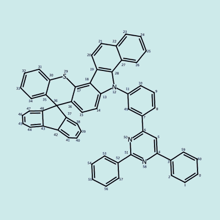 c1ccc(-c2cc(-c3cccc(-n4c5ccc6c(c5c5ccc7ccccc7c54)Sc4ccccc4C64c5ccccc5-c5ccccc54)c3)nc(-c3ccccc3)n2)cc1